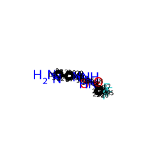 Nc1ccc(C2CCC(N3CC(NC(=O)CNC(=O)c4cccc(C(F)(F)F)c4)C3)CC2)cn1